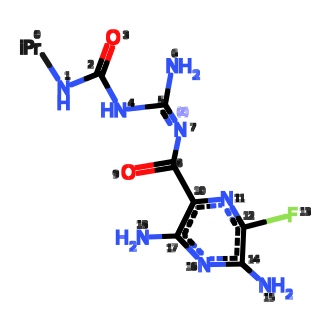 CC(C)NC(=O)N/C(N)=N\C(=O)c1nc(F)c(N)nc1N